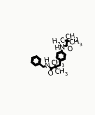 CC(C)(C)C(=O)Nc1ccc(CC(C)(C)C(=O)NCc2ccccc2)cc1